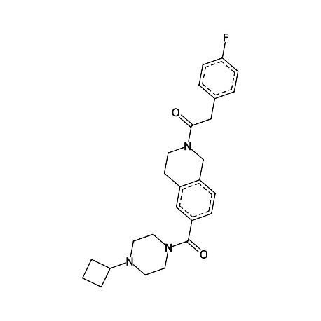 O=C(Cc1ccc(F)cc1)N1CCc2cc(C(=O)N3CCN(C4CCC4)CC3)ccc2C1